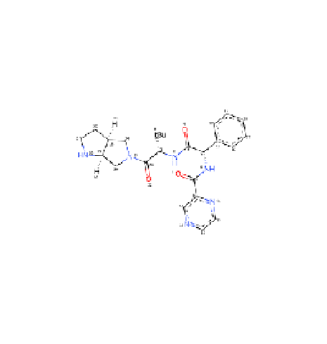 CC(C)(C)[C@H](NC(=O)[C@@H](NC(=O)c1cnccn1)c1ccccc1)C(=O)N1C[C@@H]2CCN[C@@H]2C1